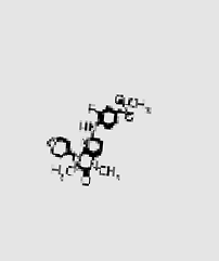 C[C@H]1C(=O)N(C)c2ccc(Nc3ccc(S(C)(=O)=O)cc3F)nc2N1C1CCOCC1